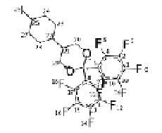 Fc1c(F)c(F)c(C2(c3c(F)c(F)c(F)c(F)c3F)OCC(C3CCC(I)CC3)CO2)c(F)c1F